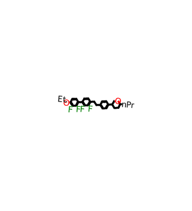 CCCC1CCC(c2ccc(CCc3ccc(-c4ccc(OCC)c(F)c4F)c(F)c3F)cc2)CO1